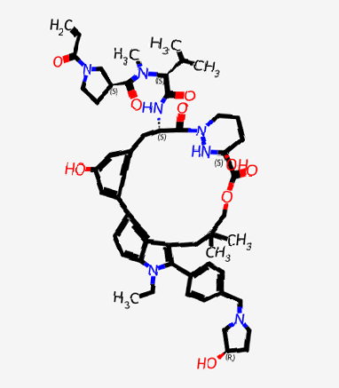 C=CC(=O)N1CC[C@H](C(=O)N(C)[C@H](C(=O)N[C@H]2Cc3cc(O)cc(c3)-c3ccc4c(c3)c(c(-c3ccc(CN5CC[C@@H](O)C5)cc3)n4CC)CC(C)(C)COC(=O)[C@@]3(O)CCCN(N3)C2=O)C(C)C)C1